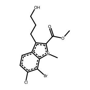 COC(=O)c1c(CCCO)c2ccc(Cl)c(Br)c2n1C